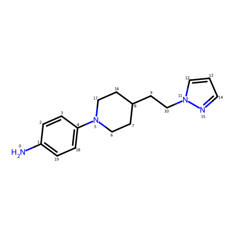 Nc1ccc(N2CCC(CCn3cccn3)CC2)cc1